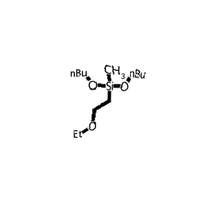 CCCCO[Si](C)(CCOCC)OCCCC